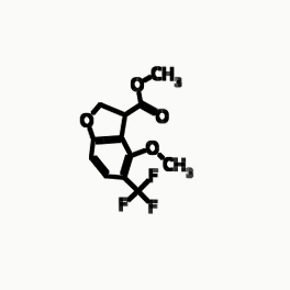 COC(=O)C1COc2ccc(C(F)(F)F)c(OC)c21